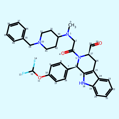 CN(CC(=O)N1[C@H](c2ccc(OC(F)F)cc2)c2[nH]c3ccccc3c2C[C@@H]1C=O)C1CCN(Cc2ccccc2)CC1